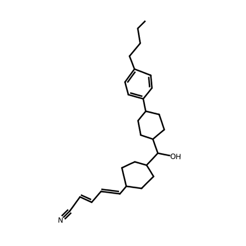 CCCCc1ccc(C2CCC(C(O)C3CCC(C=CC=CC#N)CC3)CC2)cc1